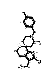 Cc1ccc(CN2CC[C@]3(C[C@@H]2C)OCCc2c3sc(Cl)c2CO)cc1